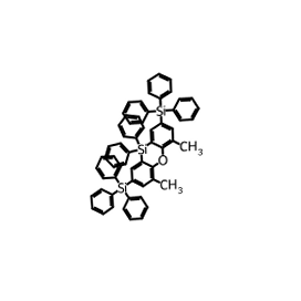 Cc1cc([Si](c2ccccc2)(c2ccccc2)c2ccccc2)cc2c1Oc1c(C)cc([Si](c3ccccc3)(c3ccccc3)c3ccccc3)cc1[Si]2(c1ccccc1)c1ccccc1